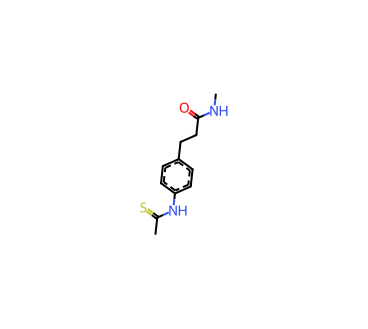 CNC(=O)CCc1ccc(NC(C)=S)cc1